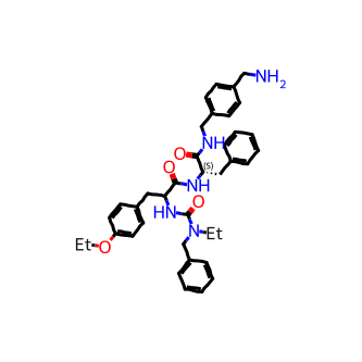 CCOc1ccc(CC(NC(=O)N(CC)Cc2ccccc2)C(=O)N[C@@H](Cc2ccccc2)C(=O)NCc2ccc(CN)cc2)cc1